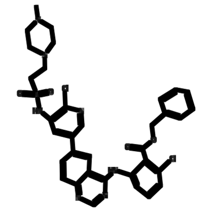 CN1CCN(CCS(=O)(=O)Nc2cc(-c3ccc4ncnc(Nc5cccc(Cl)c5C(=O)OCc5ccccc5)c4c3)cnc2Cl)CC1